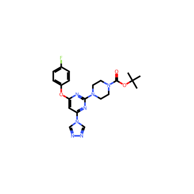 CC(C)(C)OC(=O)N1CCN(c2nc(Oc3ccc(F)cc3)cc(-n3cnnc3)n2)CC1